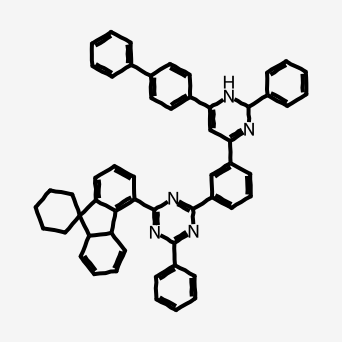 C1=CC2c3c(-c4nc(-c5ccccc5)nc(-c5cccc(C6=NC(c7ccccc7)NC(c7ccc(-c8ccccc8)cc7)=C6)c5)n4)cccc3C3(CCCCC3)C2C=C1